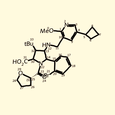 COc1ncc(C2CCC2)cc1CNC1C(c2ccccc2C(C)C)N(C(=O)[C@@H]2CCCO2)C(C(=O)O)C1C(C)(C)C